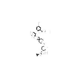 COC(=O)c1cc(F)ccc1Oc1cncnc1N1CC2(CCN(C[C@@H]3CC[C@@H](NS(=O)(=O)C4CC4)CO3)CC2)C1